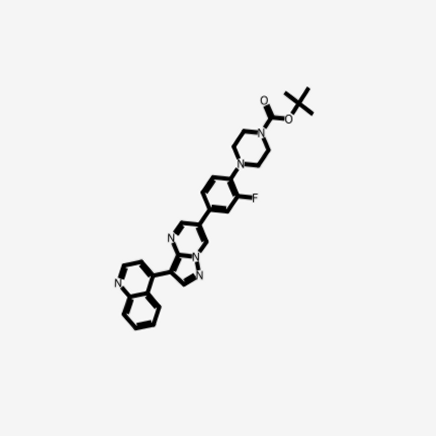 CC(C)(C)OC(=O)N1CCN(c2ccc(-c3cnc4c(-c5ccnc6ccccc56)cnn4c3)cc2F)CC1